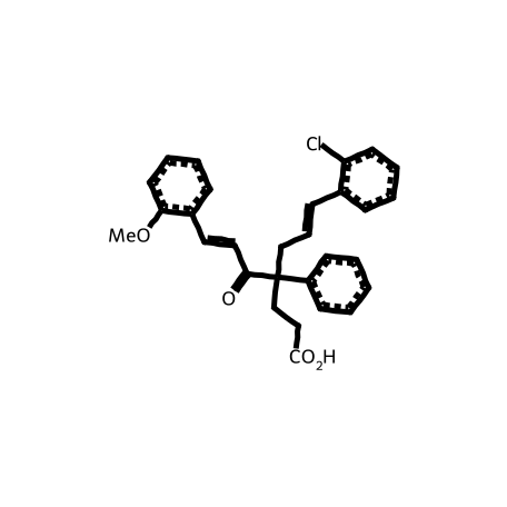 COc1ccccc1C=CC(=O)C(CC=Cc1ccccc1Cl)(CCC(=O)O)c1ccccc1